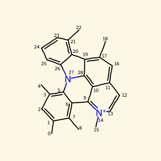 Cc1cc(C)c2c(c1C)c1c3c(cc[n+]1C)cc(C)c1c4c(C)cccc4n2c13